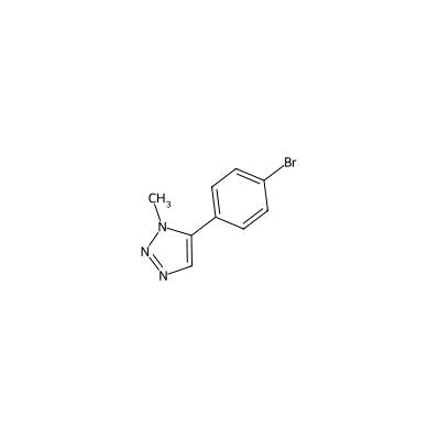 Cn1nncc1-c1ccc(Br)cc1